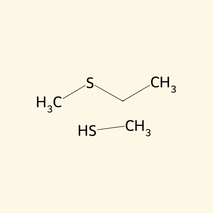 CCSC.CS